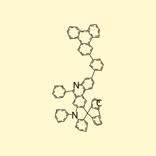 c1ccc(-c2nc3cc(-c4cccc(-c5ccc6c7ccccc7c7ccccc7c6c5)c4)ccc3c3cc4c(cc23)N(c2ccccc2)c2ccccc2C42c3ccccc3-c3ccccc32)cc1